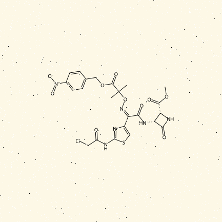 COC(=O)[C@@H]1NC(=O)[C@@H]1NC(=O)C(=NOC(C)(C)C(=O)OCc1ccc([N+](=O)[O-])cc1)c1csc(NC(=O)CCl)n1